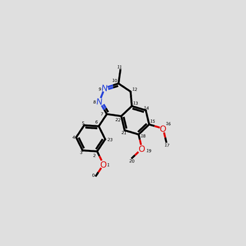 COc1cccc(C2=NN=C(C)Cc3cc(OC)c(OC)cc32)c1